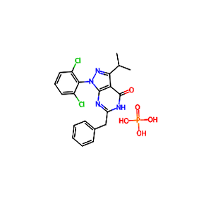 CC(C)c1nn(-c2c(Cl)cccc2Cl)c2nc(Cc3ccccc3)[nH]c(=O)c12.O=P(O)(O)O